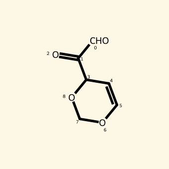 O=CC(=O)C1C=COCO1